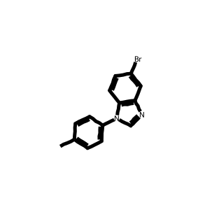 Cc1ccc(-n2cnc3cc(Br)ccc32)cc1